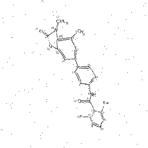 Cc1cc(-c2ccc(NC(=O)c3c(F)cccc3F)cc2)cc2oc(=O)n(C)c12